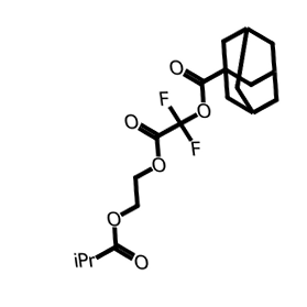 CC(C)C(=O)OCCOC(=O)C(F)(F)OC(=O)C12CC3CC(CC(C3)C1)C2